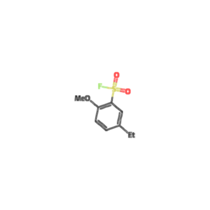 CCc1ccc(OC)c(S(=O)(=O)F)c1